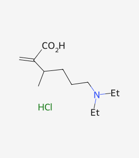 C=C(C(=O)O)C(C)CCCN(CC)CC.Cl